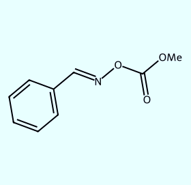 COC(=O)ON=Cc1ccccc1